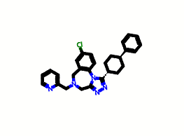 Clc1ccc2c(c1)CN(Cc1ccccn1)Cc1nnc([C@H]3CC[C@H](c4ccccc4)CC3)n1-2